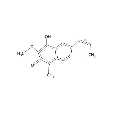 C/C=C\c1ccc2c(c1)c(O)c(OC)c(=O)n2C